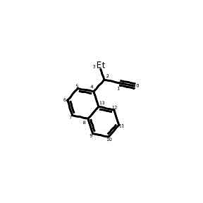 [C]#CC(CC)c1cccc2ccccc12